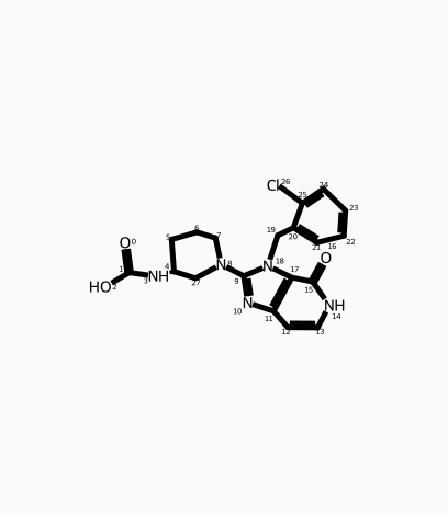 O=C(O)N[C@@H]1CCCN(c2nc3cc[nH]c(=O)c3n2Cc2ccccc2Cl)C1